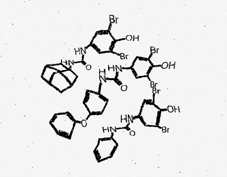 O=C(Nc1cc(Br)c(O)c(Br)c1)NC12CC3CC(CC(C3)C1)C2.O=C(Nc1ccc(Oc2ccccc2)cc1)Nc1cc(Br)c(O)c(Br)c1.O=C(Nc1ccccc1)Nc1cc(Br)c(O)c(Br)c1